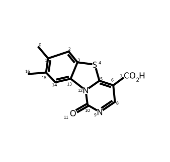 Cc1cc2sc3c(C(=O)O)cnc(=O)n3c2cc1C